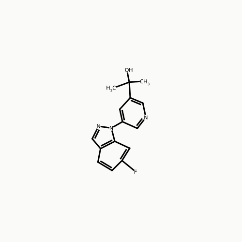 CC(C)(O)c1cncc(-n2ncc3ccc(F)cc32)c1